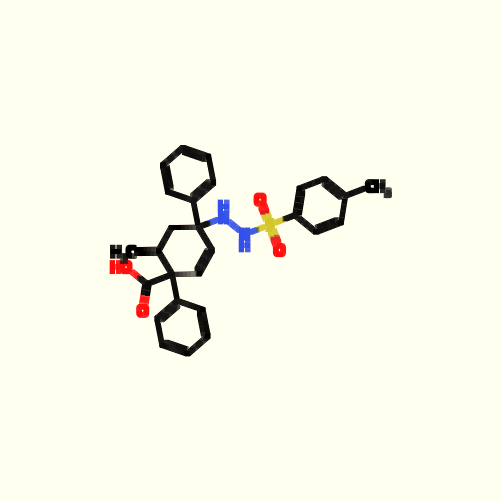 C=C1CC(NNS(=O)(=O)c2ccc(C)cc2)(c2ccccc2)C=CC1(C(=O)O)c1ccccc1